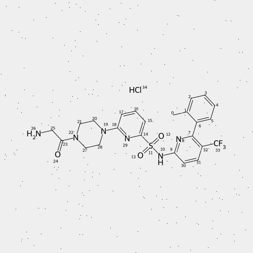 Cc1ccccc1-c1nc(NS(=O)(=O)c2cccc(N3CCN(C(=O)CN)CC3)n2)ccc1C(F)(F)F.Cl